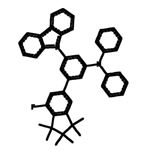 CC1(C)c2cc(-c3cc(N(c4ccccc4)c4ccccc4)cc(-n4c5ccccc5c5ccccc54)c3)cc(F)c2C(C)(C)C1(C)C